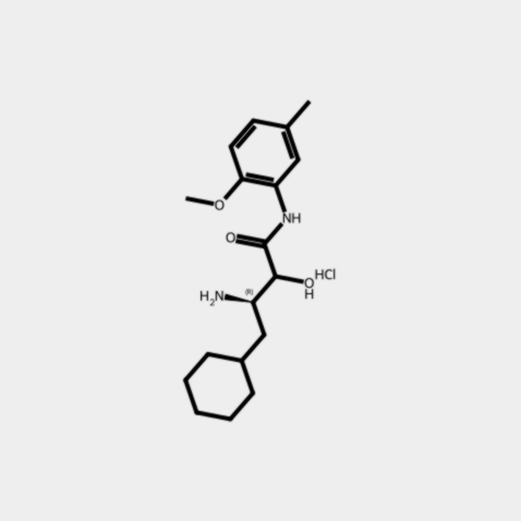 COc1ccc(C)cc1NC(=O)C(O)[C@H](N)CC1CCCCC1.Cl